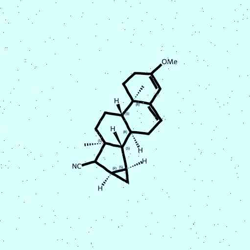 COC1=CC2=CC[C@H]3[C@@H]4[C@H]5C[C@H]5C(C#N)[C@@]4(C)CC[C@@H]3[C@@]2(C)CC1